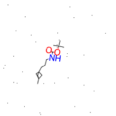 CC12CC(CCCNC(=O)OC(C)(C)C)(C1)C2